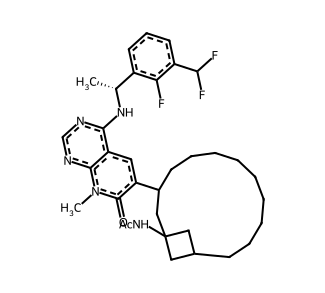 CC(=O)NC12CC(CCCCCCCCCC(c3cc4c(N[C@H](C)c5cccc(C(F)F)c5F)ncnc4n(C)c3=O)C1)C2